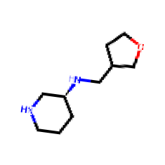 C1CNC[C@@H](NCC2CCOC2)C1